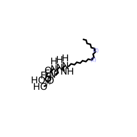 CCCCC/C=C\C/C=C\CCCCCCCCNC(=N)NC1C=CN([C@@H]2O[C@H](CO)C(O)C2(F)F)C(=O)N1